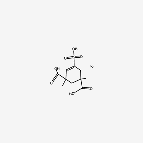 CC1(C(=O)O)C=C(S(=O)(=O)O)CC(C)(C(=O)O)C1.[K]